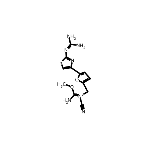 COC(N)=[N+](C#N)Cc1ccc(-c2csc(N=C(N)N)n2)o1